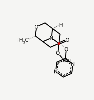 C[C@@H]1OC[C@H]2C[C@H](Oc3cnccn3)CC1N2C(=O)OC(C)(C)C